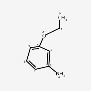 CCOc1[c]c(N)ccc1